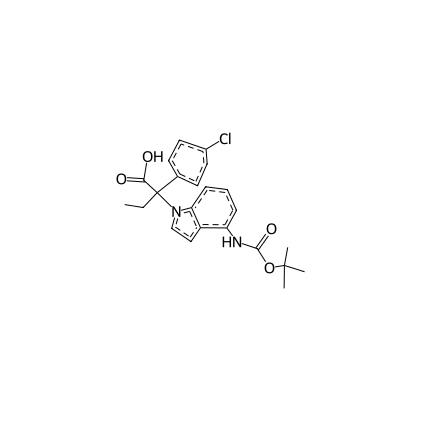 CCC(C(=O)O)(c1ccc(Cl)cc1)n1ccc2c(NC(=O)OC(C)(C)C)cccc21